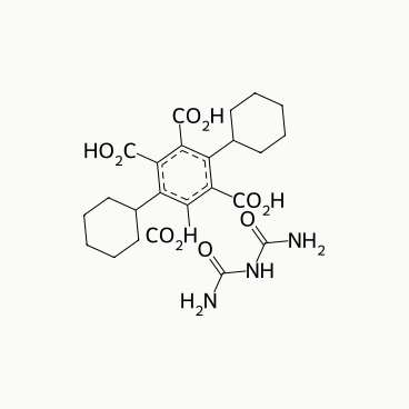 NC(=O)NC(N)=O.O=C(O)c1c(C(=O)O)c(C2CCCCC2)c(C(=O)O)c(C(=O)O)c1C1CCCCC1